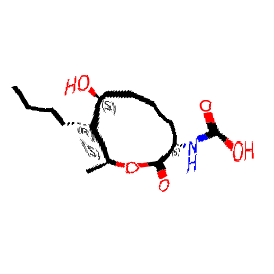 CCCC[C@H]1[C@H](C)OC(=O)[C@@H](NC(=O)O)CCC[C@@H]1O